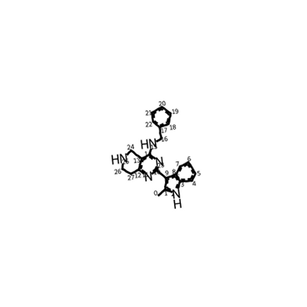 Cc1[nH]c2ccccc2c1-c1nc2c(c(NCc3ccccc3)n1)CNCC2